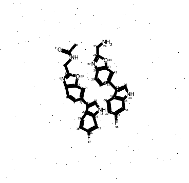 CC(=O)NCc1nc2ccc(-c3c[nH]c4cc(F)ccc34)cc2o1.NCc1nc2ccc(-c3c[nH]c4cc(F)ccc34)cc2o1